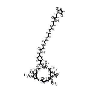 COc1cc2cc(c1Cl)N(C)C(=O)C[C@H](OC(=O)C1CCC(CNC(=O)CCOCCOCCOCCOCCNC(=O)CCN3C(=O)C=CC3=O)CC1)[C@@H](C)C[C@H](C)[C@@H]1C[C@@](O)(NC(=O)O1)C(OC)/C=C/C=C(\C)C2